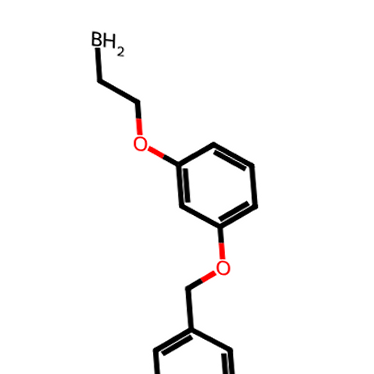 BCCOc1cccc(OCc2ccccc2)c1